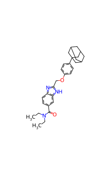 CCN(CC)C(=O)c1ccc2nc(COc3ccc(C45CC6CC(CC(C6)C4)C5)cc3)[nH]c2c1